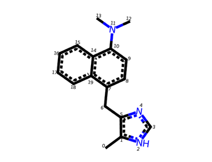 Cc1[nH]cnc1Cc1ccc(N(C)C)c2ccccc12